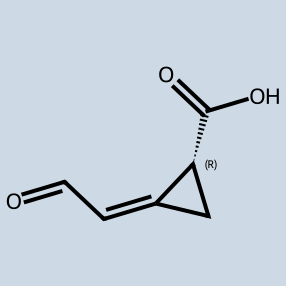 O=CC=C1C[C@H]1C(=O)O